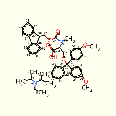 CCN(C(C)C)C(C)C.COc1ccc(C(OC[C@@H](C(=O)O)N(C)C(=O)OCC2c3ccccc3-c3ccccc32)(c2ccccc2)c2ccc(OC)cc2)cc1